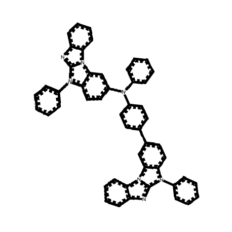 c1ccc(N(c2ccc(-c3ccc4c(c3)n3c5ccccc5nc3n4-c3ccccc3)cc2)c2ccc3c(c2)n2c4ccccc4nc2n3-c2ccccc2)cc1